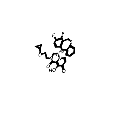 O=C1c2c(O)c(=O)ccn2N([C@@H]2c3ccccc3SCc3c2ccc(F)c3F)CN1CCOC1CC1